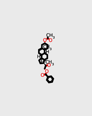 CC(=O)O[C@H]1CC[C@@]2(C)C(=CC[C@H]3[C@@H]4CC[C@H](C(=O)COC(=O)c5ccccc5)[C@@]4(C)CC[C@@H]32)C1